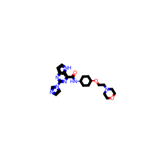 O=C(N[C@H]1CC[C@H](OCCN2CCOCC2)CC1)c1nc(-n2ccnc2)nc2cc[nH]c12